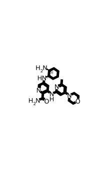 Cc1cc(N2CCOCC2)cc(Nc2cc(N[C@@H]3CCCC[C@@H]3N)cnc2C(N)=O)n1